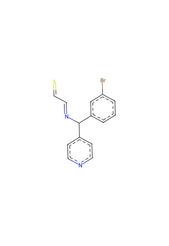 S=CC=NC(c1ccncc1)c1cccc(Br)c1